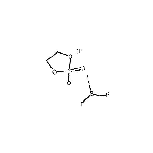 FB(F)F.O=P1([O-])OCCO1.[Li+]